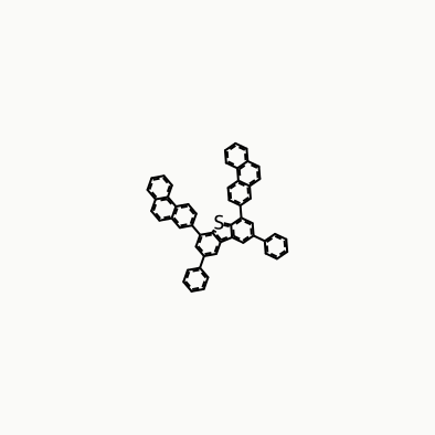 c1ccc(-c2cc(-c3ccc4c(ccc5ccccc54)c3)c3sc4c(-c5ccc6c(ccc7ccccc76)c5)cc(-c5ccccc5)cc4c3c2)cc1